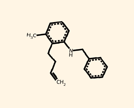 C=CCCc1c(C)cccc1NCc1ccccc1